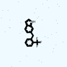 FC(F)(F)c1ccccc1Cc1ccc2cc[nH]c2c1